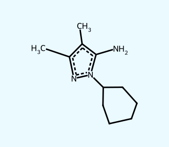 Cc1nn(C2CCCCC2)c(N)c1C